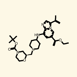 C=C(OCC)c1cc(NC2CCN(C[C@@H]3CN(C(=O)OC(C)(C)C)CCO3)CC2)c2ncc(C(=C)C)n2c1